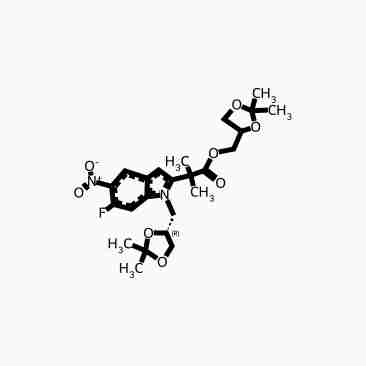 CC1(C)OCC(COC(=O)C(C)(C)c2cc3cc([N+](=O)[O-])c(F)cc3n2C[C@@H]2COC(C)(C)O2)O1